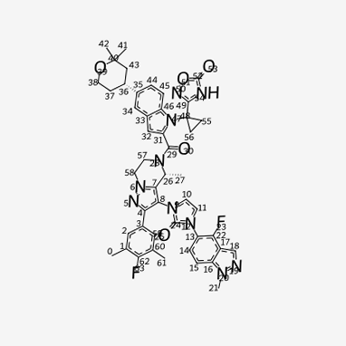 Cc1cc(-c2nn3c(c2-n2ccn(-c4ccc5c(cnn5C)c4F)c2=O)[C@@H](C)N(C(=O)c2cc4cc([C@@H]5CCOC(C)(C)C5)ccc4n2C2(c4noc(=O)[nH]4)CC2)CC3)cc(C)c1F